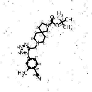 Cc1cc(-n2nnnc2CN2CCC3(CC2)CCN(C(=O)OC(C)(C)C)C3)ccc1C#N